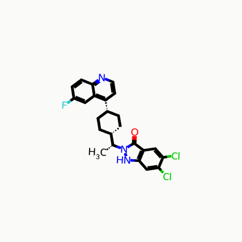 C[C@H]([C@H]1CC[C@@H](c2ccnc3ccc(F)cc32)CC1)n1[nH]c2cc(Cl)c(Cl)cc2c1=O